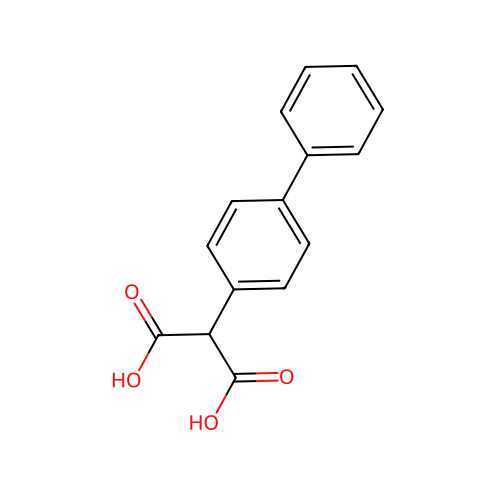 O=C(O)C(C(=O)O)c1ccc(-c2ccccc2)cc1